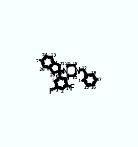 Fc1cc(F)cc(C2(N3CCN(Cc4ccccc4)CC3)Cc3ccccc3C2)c1